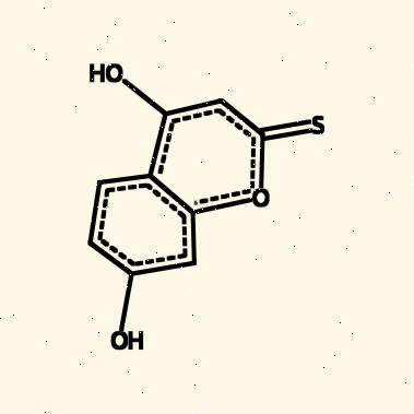 Oc1ccc2c(O)cc(=S)oc2c1